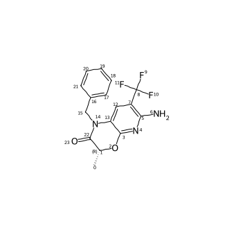 C[C@H]1Oc2nc(N)c(C(F)(F)F)cc2N(Cc2ccccc2)C1=O